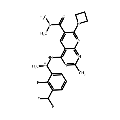 Cc1nc(N[C@H](C)c2cccc(C(F)F)c2F)c2cc(C(=O)N(C)C)c(N3CCC3)nc2n1